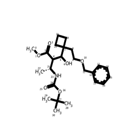 COC(=O)C(C(O)C1(CCOCc2ccccc2)CCC1)[C@@H](C)NC(=O)OC(C)(C)C